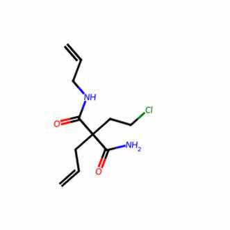 C=CCNC(=O)C(CC=C)(CCCl)C(N)=O